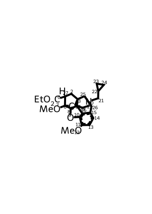 CCOC(=O)[C@H]1CC23CCC1(OC)C1Oc4c(OC)ccc5c4C12CCN(CC1CC1)C3C5